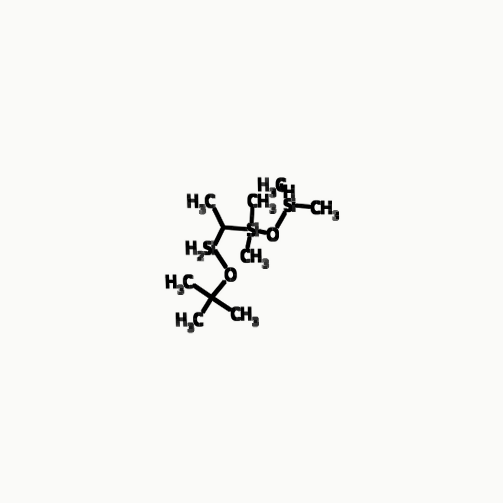 CC([SiH2]OC(C)(C)C)[Si](C)(C)O[SiH](C)C